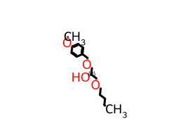 CCCCCOC[C@@H](O)COCc1ccc(OC)cc1